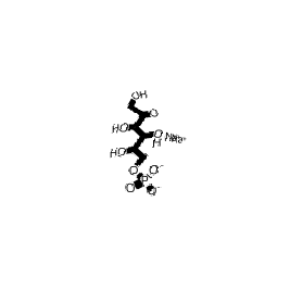 O=C(CO)C(O)C(O)C(O)COP(=O)([O-])[O-].[Na+].[Na+]